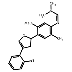 COc1cc(/N=C\N(C)C)c(C)cc1C1CC(c2ccccc2Cl)=NO1